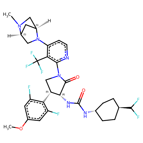 COc1cc(F)c([C@@H]2CN(c3nccc(N4C[C@@H]5C[C@H]4CN5C)c3C(F)(F)F)C(=O)[C@@H]2NC(=O)N[C@H]2CC[C@H](C(F)F)CC2)c(F)c1